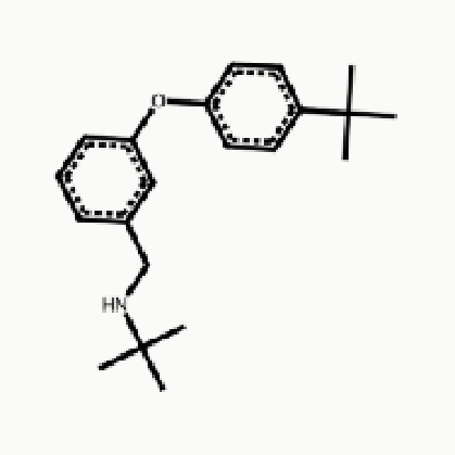 CC(C)(C)NCc1cccc(Oc2ccc(C(C)(C)C)cc2)c1